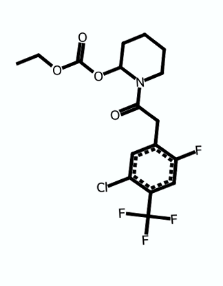 CCOC(=O)OC1CCCCN1C(=O)Cc1cc(Cl)c(C(F)(F)F)cc1F